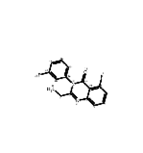 CCc1nc2cccc(F)c2c(=O)n1-c1cccc(F)c1